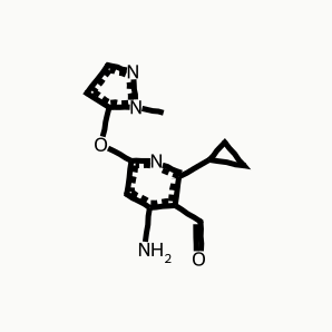 Cn1nccc1Oc1cc(N)c(C=O)c(C2CC2)n1